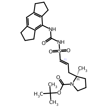 CC(C)(C)OC(=O)N1CCC[C@]1(C)C/C=C/S(=O)(=O)NC(=O)Nc1c2c(cc3c1CCC3)CCC2